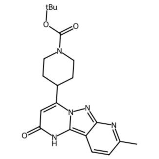 Cc1ccc2c(n1)nn1c(C3CCN(C(=O)OC(C)(C)C)CC3)cc(=O)[nH]c21